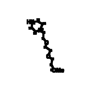 COCCOCCOCCN1CCNCC1